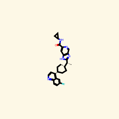 C[C@@H](c1nc2cnc(C(=O)NC3CC3)cc2[nH]1)[C@H]1CC[C@@H](c2ccnc3ccc(F)cc32)CC1